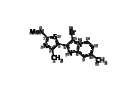 CNc1nc(C)c(-c2nc3cc(C)ccn3c2Br)s1